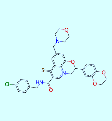 O=C(NCc1ccc(Cl)cc1)c1cn2c3c(cc(CN4CCOCC4)cc3c1=S)OC(c1ccc3c(c1)OCCO3)C2